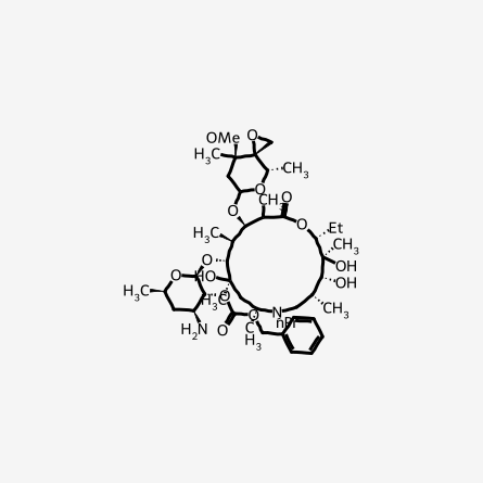 CCCN1C[C@@H](C)[C@@H](O)[C@](C)(O)[C@@H](CC)OC(=O)C(C)[C@H](OC2C[C@@](C)(OC)[C@@]3(CO3)[C@H](C)O2)[C@H](C)[C@@H](O[C@@H]2O[C@H](C)C[C@H](N)[C@H]2OC(=O)OCc2ccccc2)[C@](C)(O)C[C@H]1C